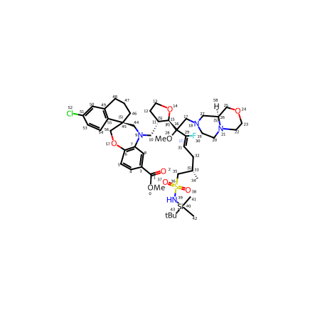 COC(=O)c1ccc2c(c1)N(C[C@@H]1CCO[C@H]1C(CN1CCN3CCOC[C@@H]3C1)(OC)/C(F)=C/C[C@H](C)CS(=O)(=O)N[Si](C)(C)C(C)(C)C)C[C@@]1(CCCc3cc(Cl)ccc31)CO2